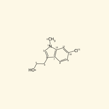 Cn1cc(CCO)c2ccc(Cl)cc21